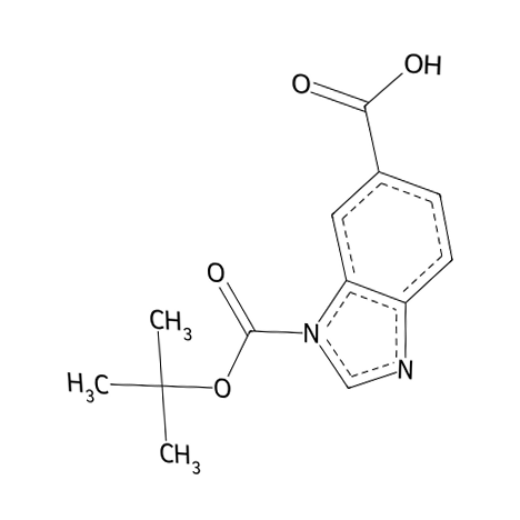 CC(C)(C)OC(=O)n1cnc2ccc(C(=O)O)cc21